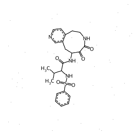 CC(C)C(NS(=O)(=O)c1ccccc1)C(=O)NC1Cc2cnccc2CCNC(=O)C1=O